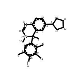 Cc1cc(C2(C)c3cc(C4CCCC4)ccc3N=CN2C)c(C)c(C)c1F